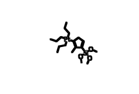 CC[CH2][Pt]([CH2]CC)([CH2]CC)[C]1=C(C)C([Si](OC)(OC)OC)=CC1